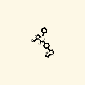 C[C@@H](C(=O)N1C(C=O)OC[C@H]1Cc1ccccc1)C1CCC(c2ccnc3ccnn23)CC1